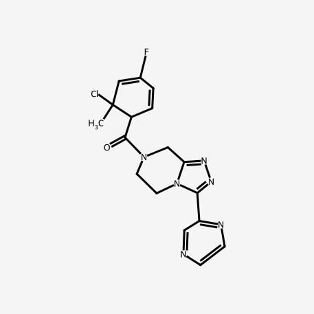 CC1(Cl)C=C(F)C=CC1C(=O)N1CCn2c(nnc2-c2cnccn2)C1